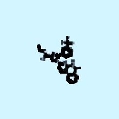 CCOC(=O)c1cn(-c2ccnc(N[C@@H](C)c3ccccc3)n2)c(-c2cccc(C(F)(F)F)c2)n1